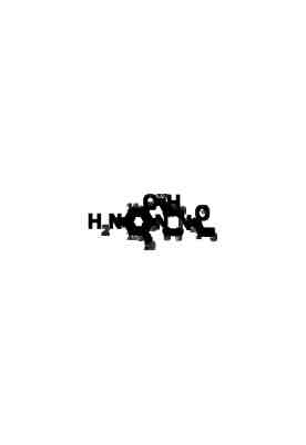 C=CC(=O)N1CCN2c3c(C)cc(N)cc3OC[C@H]2C1